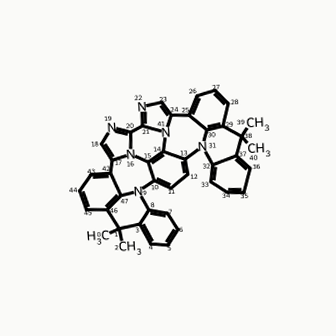 CC1(C)c2ccccc2-n2c3ccc4c5c3n3c(cnc3c3ncc(c6cccc7c6n4-c4ccccc4C7(C)C)n35)c3cccc1c32